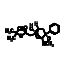 CO[C@@]1(c2ccccc2)C[C@H]2CC[C@@H]1C[C@@]2(O)CC(=O)OC(C)(C)C